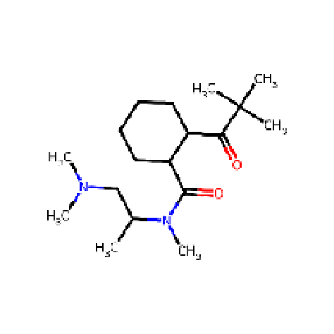 CC(CN(C)C)N(C)C(=O)C1CCCCC1C(=O)C(C)(C)C